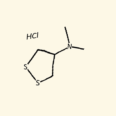 CN(C)C1CSSC1.Cl